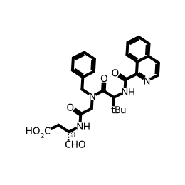 CC(C)(C)C(NC(=O)c1nccc2ccccc12)C(=O)N(CC(=O)N[C@H](C=O)CC(=O)O)Cc1ccccc1